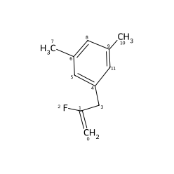 C=C(F)Cc1cc(C)cc(C)c1